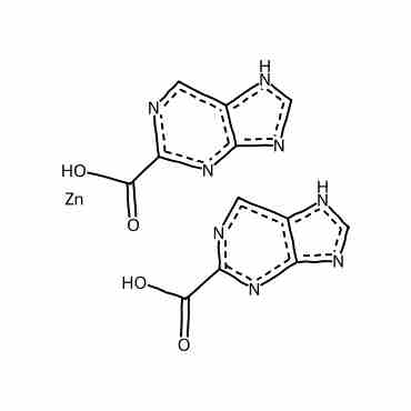 O=C(O)c1ncc2[nH]cnc2n1.O=C(O)c1ncc2[nH]cnc2n1.[Zn]